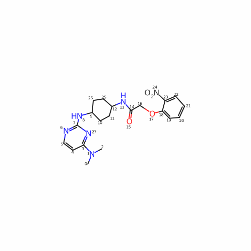 CN(C)c1ccnc(NC2CCC(NC(=O)COc3ccccc3[N+](=O)[O-])CC2)n1